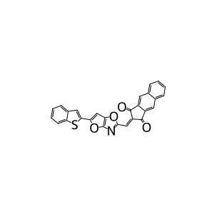 O=C1C(=Cc2nc3oc(-c4cc5ccccc5s4)cc3o2)C(=O)c2cc3ccccc3cc21